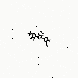 C=C(NC(C)(C)C)C(=O)/C(CC)=C(C)/C(C(=O)Nc1ccc(F)c(C#N)c1)=C(\C)Cl